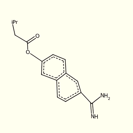 CC(C)CC(=O)Oc1ccc2cc(C(=N)N)ccc2c1